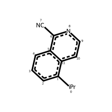 CC(C)c1cccc2c(C#N)nccc12